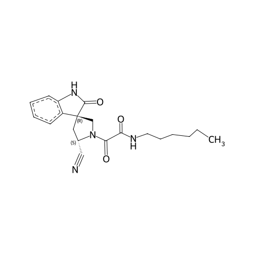 CCCCCCNC(=O)C(=O)N1C[C@]2(C[C@H]1C#N)C(=O)Nc1ccccc12